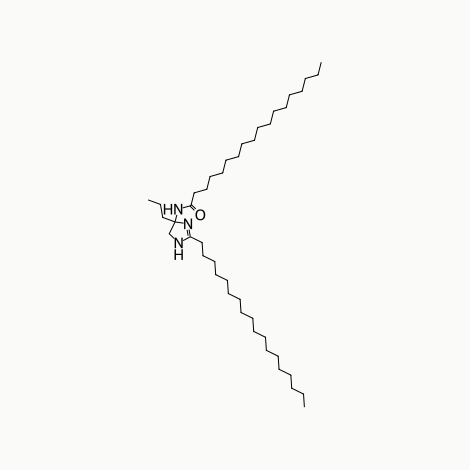 CCCCCCCCCCCCCCCCCCC1=NC(CCC)(NC(=O)CCCCCCCCCCCCCCCCC)CN1